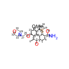 C=C(C(=O)c1ccc(C(N)=O)cc1)c1cc(-c2cccs2)c(OC)cc1OCCN1CCOCC1